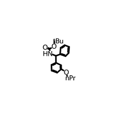 [CH2]CCOc1cccc(C(NC(=O)OC(C)(C)C)c2ccccc2)c1